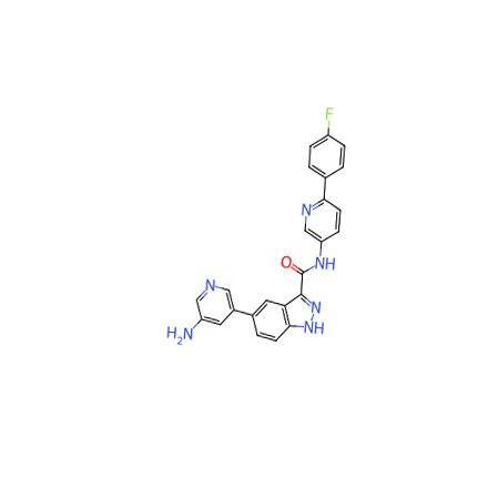 Nc1cncc(-c2ccc3[nH]nc(C(=O)Nc4ccc(-c5ccc(F)cc5)nc4)c3c2)c1